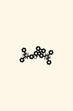 CC12Oc3ccc(-c4nc(-c5ccccc5)nc(-c5ccccc5)n4)cc3C1C=CC1=C2c2ccc(-c3nc(-c4ccccc4)nc(-c4ccccc4)n3)cc2C12c1ccccc1-c1ccccc12